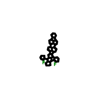 Fc1ccccc1-c1c2ccccc2c2c3c(c4c(cc13)C1=CC=C3c5ccc6c7c(ccc(c57)C5=CC=C4C1C35)C1=C6C=CCC1)-c1cccc(F)c1-2